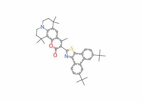 Cc1c(-c2nc3c4ccc(C(C)(C)C)cc4c4cc(C(C)(C)C)ccc4c3s2)c(=O)oc2c3c4c(cc12)C(C)(C)CCN4CCC3(C)C